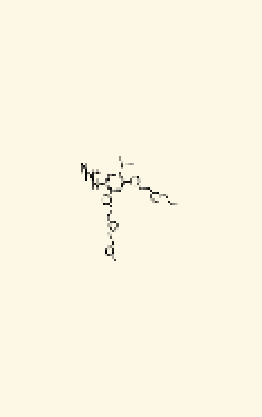 CCCOCCOc1cc(OCCOCCOC)c(N=[N+]=[N-])cc1C(C)C